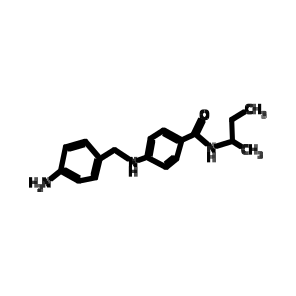 CCC(C)NC(=O)c1ccc(NCc2ccc(N)cc2)cc1